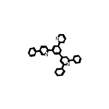 C1=CCC(C2C=C(c3ccc(-c4ccccc4)cn3)C=C(C3C=C(C4=CCCC=C4)N=C(c4ccccc4)C3)C2)N=C1